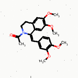 COc1ccc(C=C2c3cc(OC)c(OC)cc3CCN2C(C)=O)cc1OC